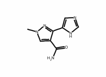 Cn1cc(C(N)=O)c(-c2cnc[nH]2)n1